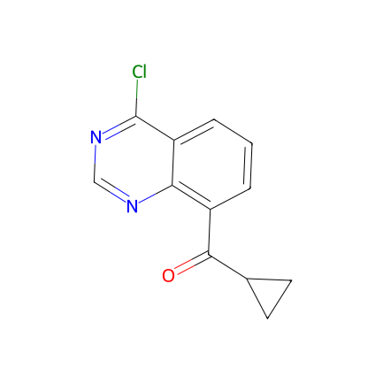 O=C(c1cccc2c(Cl)ncnc12)C1CC1